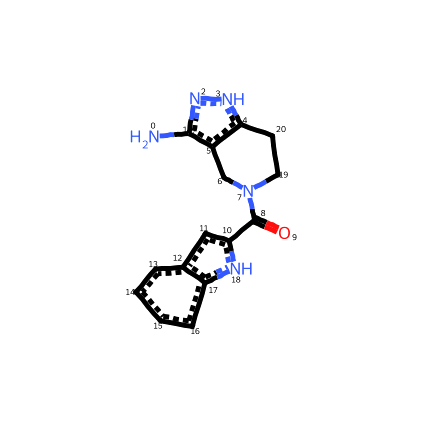 Nc1n[nH]c2c1CN(C(=O)c1cc3ccccc3[nH]1)CC2